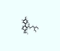 CCN(CC)CCNc1nc(N)ncc1-c1ccc(C)cc1